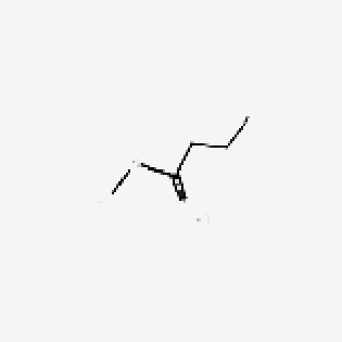 CCCC(=O)NO.Cl